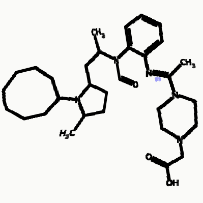 C/C(=N\c1ccccc1N(C=O)C(C)CC1CCC(C)N1C1CCCCCCC1)N1CCN(CC(=O)O)CC1